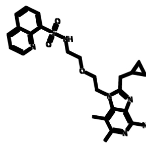 Cc1nc(N)c2nc(CC3CC3)n(CCOCCNS(=O)(=O)c3cccc4cccnc34)c2c1C